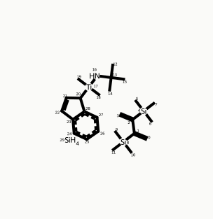 C=C(C(=C)[Si](C)(C)C)[Si](C)(C)C.CC(C)(C)[NH][Ti]([CH3])([CH3])[CH]1C=Cc2ccccc21.[SiH4]